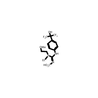 CCN(CCOC)C(=NC(=O)O)Nc1ccc(C(O)(C(F)(F)F)C(F)(F)F)cc1